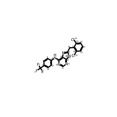 FC(F)(F)c1ccc(Nc2ncnc3[nH]c(Cc4c(Cl)cccc4Cl)nc23)cc1